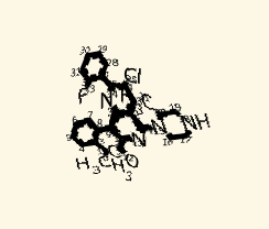 CC(C)c1ccccc1-c1c(C=O)nc(N2CCNC[C@@H]2C)c2cc(Cl)c(-c3ccccc3F)nc12